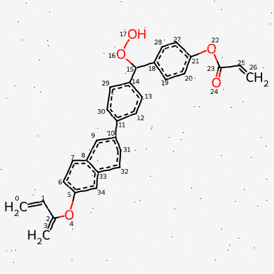 C=CC(=C)Oc1ccc2cc(-c3ccc(C(OO)c4ccc(OC(=O)C=C)cc4)cc3)ccc2c1